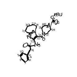 CN(C(=O)Cc1ccccc1)c1nc2n(c1C(=O)N1CCN(C(=O)OC(C)(C)C)CC1)CCCC2